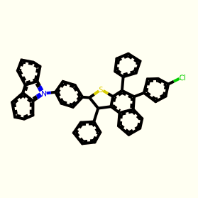 Clc1ccc(-c2c(-c3ccccc3)c3c(c4ccccc24)C(c2ccccc2)C(c2ccc(-n4c5ccccc5c5ccccc54)cc2)S3)cc1